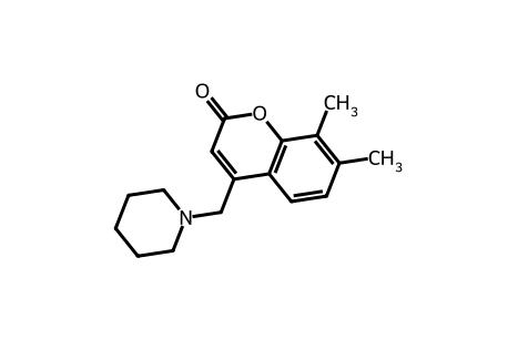 Cc1ccc2c(CN3CCCCC3)cc(=O)oc2c1C